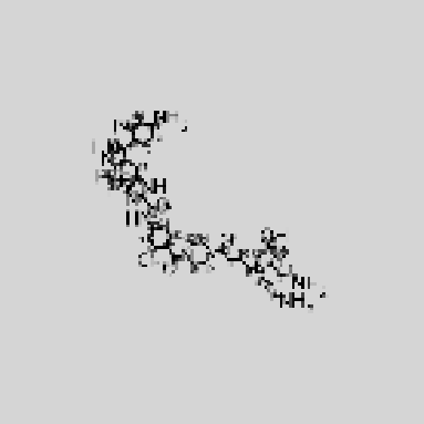 NCCC[N+](CCCN)(CCCC(=O)N1CCN(C(=O)c2ccc(NC(=O)c3ncc(Cc4c(C(F)(F)F)n[nH]c4-c4ccc(N)cc4F)[nH]3)cc2Cl)CC1)CC(=O)O